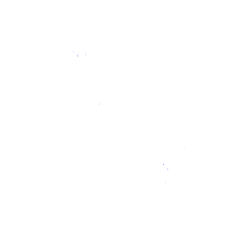 NC(=O)OCCCCC[N+](=O)[O-]